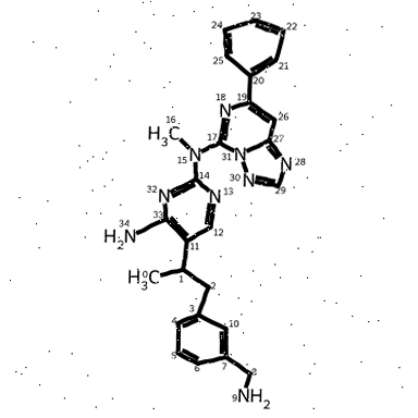 CC(Cc1cccc(CN)c1)c1cnc(N(C)c2nc(-c3ccccc3)cc3ncnn23)nc1N